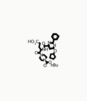 CCCCOC(=O)N1CCN(C(=O)C(CCC(=O)O)NC(=O)c2cc(OC3CCCC3)nc(-c3ccccc3)n2)CC1